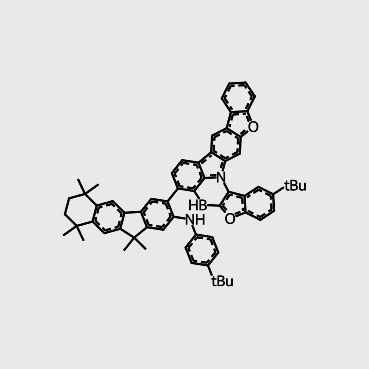 CC(C)(C)c1ccc(Nc2cc3c(cc2-c2ccc4c5cc6c(cc5n5c4c2Bc2oc4ccc(C(C)(C)C)cc4c2-5)oc2ccccc26)-c2cc4c(cc2C3(C)C)C(C)(C)CCC4(C)C)cc1